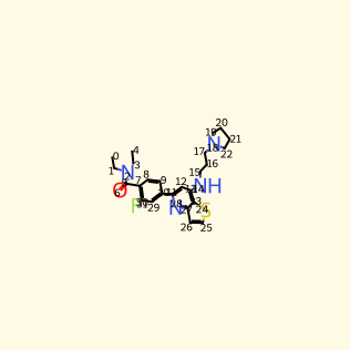 CCN(CC)C(=O)c1ccc(-c2cc(NCCCN3CCCC3)c3sccc3n2)cc1F